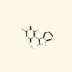 Cc1[nH]c2ccccc2c1C1=C(Cl)C(=O)C(Cl)=CC1=O